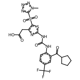 Cn1nnnc1S(=O)(=O)c1sc(NC(=O)Nc2ccc(C(F)(F)F)cc2C(=O)C2CCCC2)nc1CC(=O)O